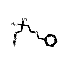 CC(O)(CCOCc1ccccc1)CN=[N+]=[N-]